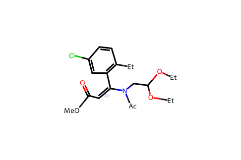 CCOC(CN(C(C)=O)/C(=C/C(=O)OC)c1cc(Cl)ccc1CC)OCC